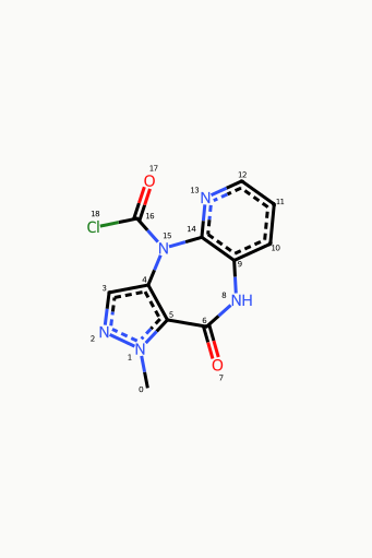 Cn1ncc2c1C(=O)Nc1cccnc1N2C(=O)Cl